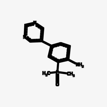 CP(C)(=O)c1cc(-c2cncnc2)ccc1N